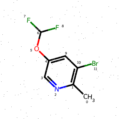 Cc1ncc(OC(F)F)cc1Br